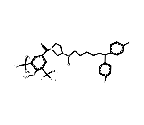 COc1c(C(C)(C)C)cc(C(=O)N2CC[C@@H](N(C)CCCCCC(c3ccc(F)cc3)c3ccc(F)cc3)C2)cc1C(C)(C)C